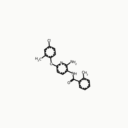 Cc1cc(Cl)ccc1Oc1ccc(NC(=O)c2ccccc2C)c(N)n1